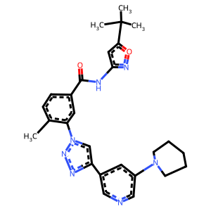 Cc1ccc(C(=O)Nc2cc(C(C)(C)C)on2)cc1-n1cc(-c2cncc(N3CCCCC3)c2)nn1